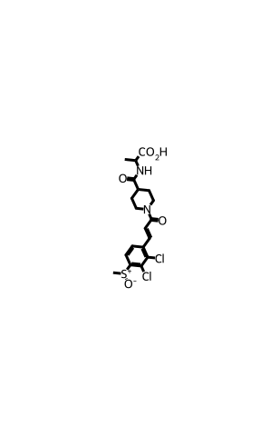 CC(NC(=O)C1CCN(C(=O)/C=C/c2ccc([S+](C)[O-])c(Cl)c2Cl)CC1)C(=O)O